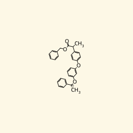 CC(C(=O)OCc1ccccc1)c1ccc(Oc2cccc(O[C@H](C)c3ccccc3)c2)cc1